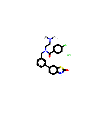 CN(C)CCN(Cc1cccc(-c2ccc3[nH]c(=O)sc3c2)c1)C(=O)c1ccc(Cl)cc1.Cl